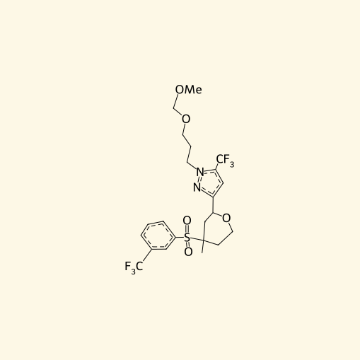 COCOCCCn1nc(C2CC(C)(S(=O)(=O)c3cccc(C(F)(F)F)c3)CCO2)cc1C(F)(F)F